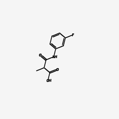 CC(C(=O)O)C(=O)Nc1cccc(F)c1